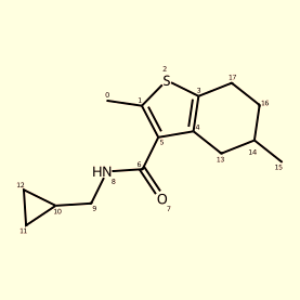 Cc1sc2c(c1C(=O)NCC1CC1)CC(C)CC2